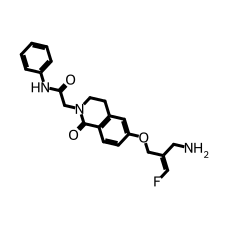 NC/C(=C/F)COc1ccc2c(c1)CCN(CC(=O)Nc1ccccc1)C2=O